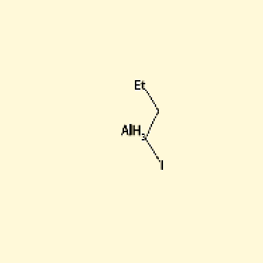 [AlH3].[CH2]CCCI